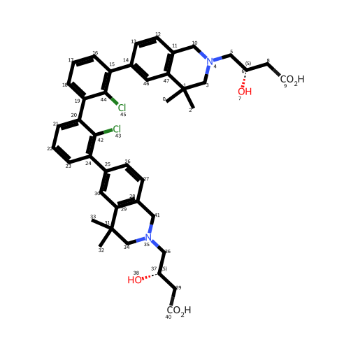 CC1(C)CN(C[C@@H](O)CC(=O)O)Cc2ccc(-c3cccc(-c4cccc(-c5ccc6c(c5)C(C)(C)CN(C[C@@H](O)CC(=O)O)C6)c4Cl)c3Cl)cc21